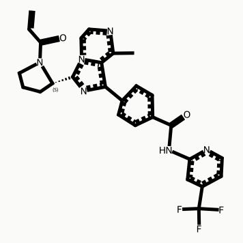 C=CC(=O)N1CCC[C@H]1c1nc(-c2ccc(C(=O)Nc3cc(C(F)(F)F)ccn3)cc2)c2c(C)nccn12